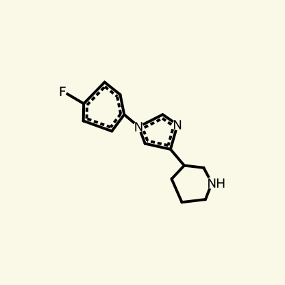 Fc1ccc(-n2cnc(C3CCCNC3)c2)cc1